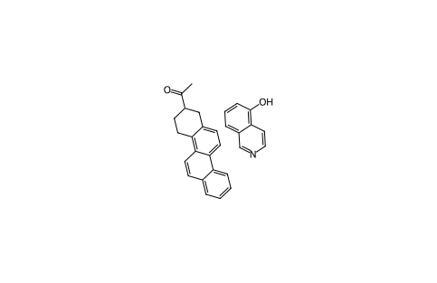 CC(=O)C1CCc2c(ccc3c2ccc2ccccc23)C1.Oc1cccc2cnccc12